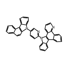 c1ccc2c(c1)ccc1c2c2ccccc2n1-c1ccc(-n2c3ccccc3c3c4ccccc4c4ncccc4c32)nc1